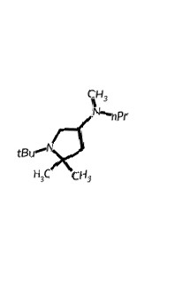 CCCN(C)C1CN(C(C)(C)C)C(C)(C)C1